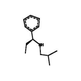 CC[C@H](NCC(C)C)c1ccccc1